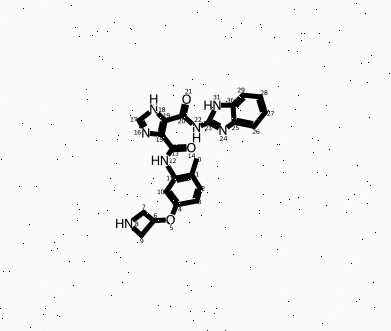 Cc1ccc(OC2CNC2)cc1NC(=O)c1nc[nH]c1C(=O)Nc1nc2ccccc2[nH]1